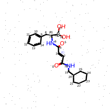 O=C(/C=C/C(=O)N[C@@H](Cc1ccccc1)B(O)O)NCC1CCCCC1